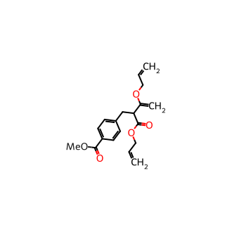 C=CCOC(=C)C(Cc1ccc(C(=O)OC)cc1)C(=O)OCC=C